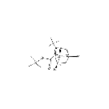 CC(C)(C)OC(=O)N[C@H]1[C@@H]2C[C@H]1CN(C(C)(C)C)C2